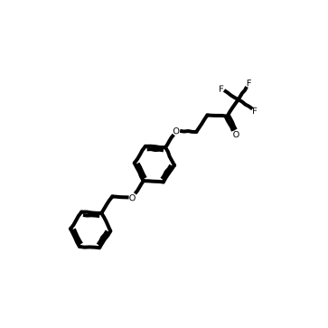 O=C(CCOc1ccc(OCc2ccccc2)cc1)C(F)(F)F